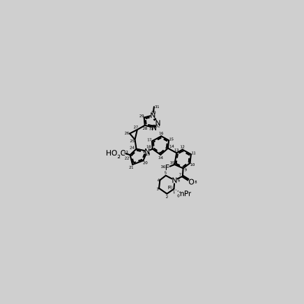 CCC[C@@H]1CCCCN1C(=O)c1cccc(-c2cccc(-n3ccc(C(=O)O)c3C3CC3c3cn(C)nn3)c2)c1F